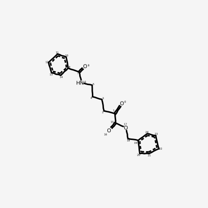 O=C(CCCCNC(=O)c1ccccc1)C(=O)OCc1ccccc1